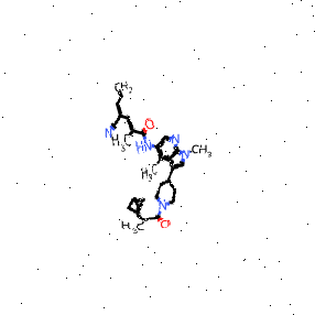 C=C/C=C(C#N)\C=C(/C)C(=O)Nc1cnc2c(c(C3CCN(C(=O)[C@H](C)C45CC(C4)C5)CC3)cn2C)c1C